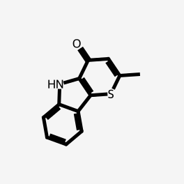 Cc1cc(=O)c2[nH]c3ccccc3c2s1